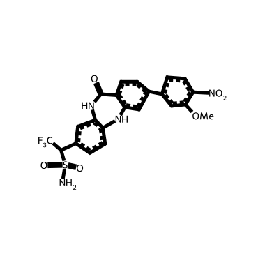 COc1cc(-c2ccc3c(c2)Nc2ccc(C(C(F)(F)F)S(N)(=O)=O)cc2NC3=O)ccc1[N+](=O)[O-]